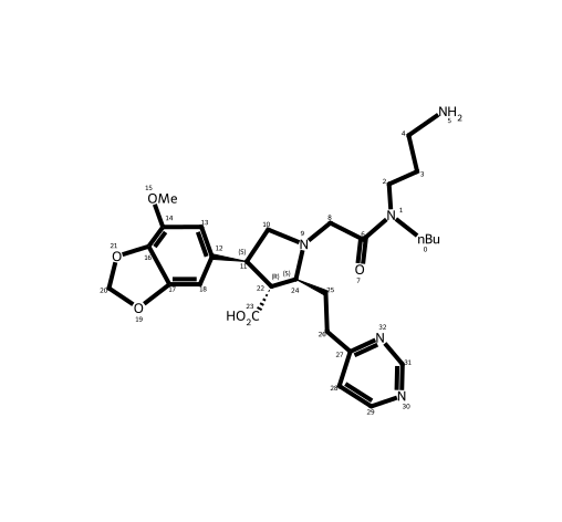 CCCCN(CCCN)C(=O)CN1C[C@H](c2cc(OC)c3c(c2)OCO3)[C@@H](C(=O)O)[C@@H]1CCc1ccncn1